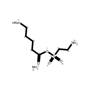 CCCCCCCCCCCCCC(=O)OS(=O)(=O)CCN.N